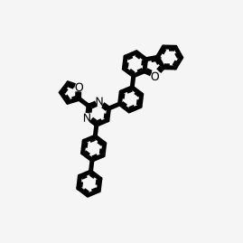 c1ccc(-c2ccc(-c3cc(-c4cccc(-c5cccc6c5oc5ccccc56)c4)nc(-c4ccco4)n3)cc2)cc1